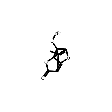 CCCOc1c2c3oc1c(C)c3C(=O)O2